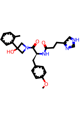 COc1ccc(C[C@H](NC(=O)CCc2c[nH]cn2)C(=O)N2CC(O)(c3ccccc3C)C2)cc1